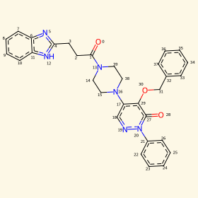 O=C(CCc1nc2ccccc2[nH]1)N1CCN(c2cnn(-c3ccccc3)c(=O)c2OCc2ccccc2)CC1